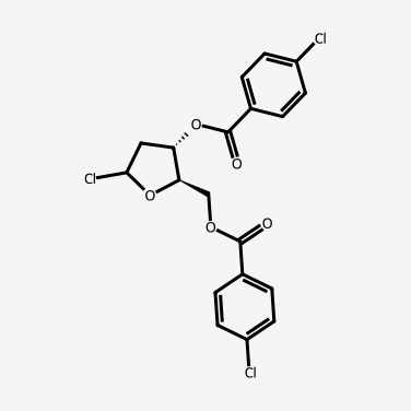 O=C(OC[C@H]1OC(Cl)C[C@@H]1OC(=O)c1ccc(Cl)cc1)c1ccc(Cl)cc1